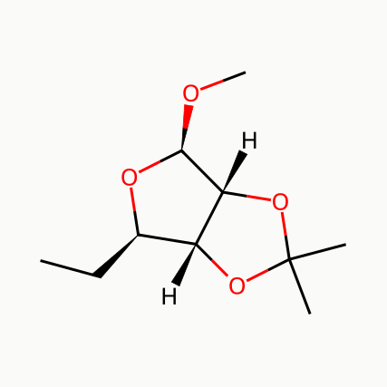 CC[C@H]1O[C@@H](OC)[C@@H]2OC(C)(C)O[C@@H]21